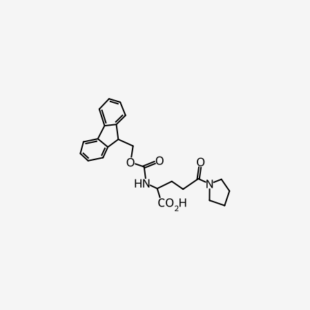 O=C(NC(CCC(=O)N1CCCC1)C(=O)O)OCC1c2ccccc2-c2ccccc21